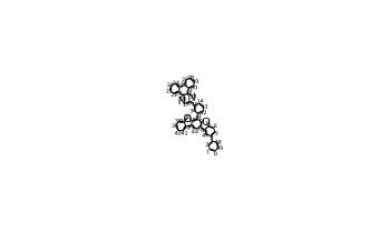 c1ccc(-c2ccc3oc4c(-c5cccc(-c6cnc7c8ccccc8c8ccccc8c7n6)c5)c5oc6ccccc6c5cc4c3c2)cc1